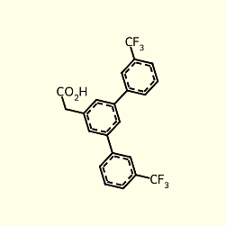 O=C(O)Cc1cc(-c2cccc(C(F)(F)F)c2)cc(-c2cccc(C(F)(F)F)c2)c1